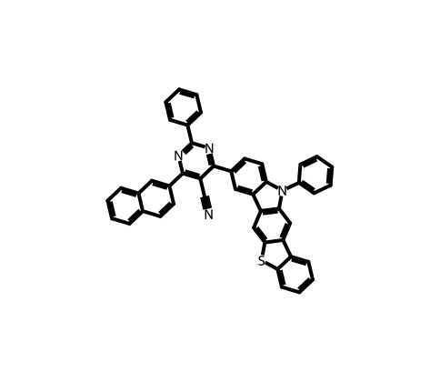 N#Cc1c(-c2ccc3ccccc3c2)nc(-c2ccccc2)nc1-c1ccc2c(c1)c1cc3sc4ccccc4c3cc1n2-c1ccccc1